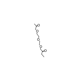 CCC(=O)COCCOCCOCC(C)=O